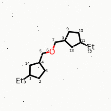 CCC1CCC(COCC2CCC(CC)C2)C1